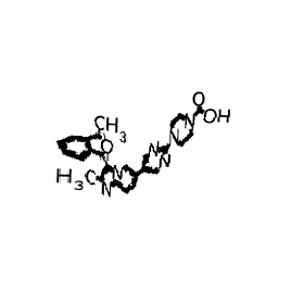 Cc1nc2ccc(-c3cnc(N4CCN(C(=O)O)CC4)nc3)cn2c1[C@H]1O[C@@H](C)c2ccccc21